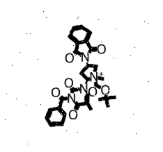 Cc1cn([C@H]2C[C@H](N3C(=O)c4ccccc4C3=O)C[N+]2(C)C(=O)OC(C)(C)C)c(=O)n(C(=O)c2ccccc2)c1=O